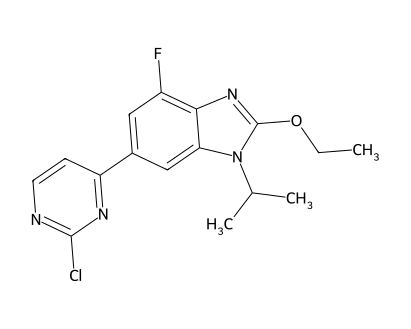 CCOc1nc2c(F)cc(-c3ccnc(Cl)n3)cc2n1C(C)C